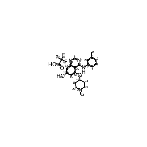 Cc1cccc(Nc2ncnc3cc(O)cc(OC4CCN(C)CC4)c23)c1.O=C(O)C(F)(F)F